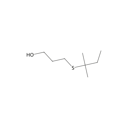 CCC(C)(C)SCCCO